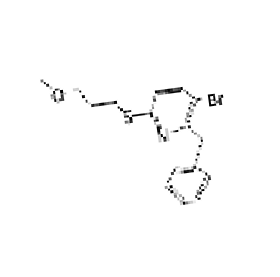 COCCCSc1ccc(Br)c(Cc2ccccc2)n1